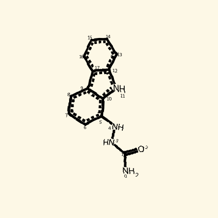 NC(=O)NNc1cccc2c1[nH]c1ccccc12